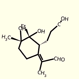 CC[C@@]1(O)[C@H](CCCO)/C(=C(/C)C=O)CC[C@]1(C)O